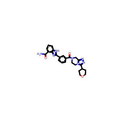 NC(=O)c1cccc2[nH]c(-c3cccc(C(=O)N4CCn5c(nnc5C5CCOCC5)C4)c3)nc12